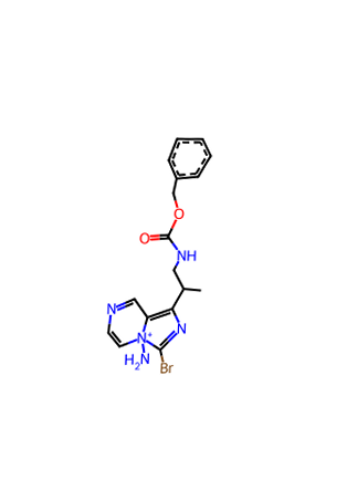 CC(CNC(=O)OCc1ccccc1)C1=C2C=NC=C[N+]2(N)C(Br)=N1